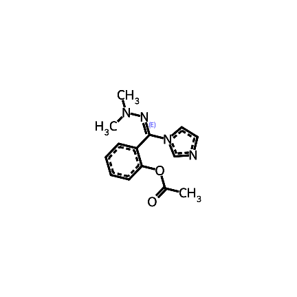 CC(=O)Oc1ccccc1/C(=N\N(C)C)n1ccnc1